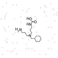 NCCCN(CCCNC(=O)O)CC1CCCCC1